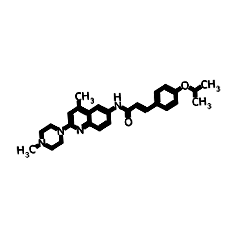 Cc1cc(N2CCN(C)CC2)nc2ccc(NC(=O)/C=C/c3ccc(OC(C)C)cc3)cc12